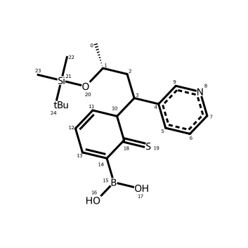 C[C@H](CC(c1cccnc1)C1C=CC=C(B(O)O)C1=S)O[Si](C)(C)C(C)(C)C